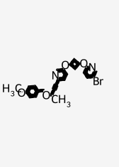 COc1ccc(COC(C)C#Cc2ccc(O[C@H]3C[C@H](Oc4ccc(Br)cn4)C3)cn2)cc1